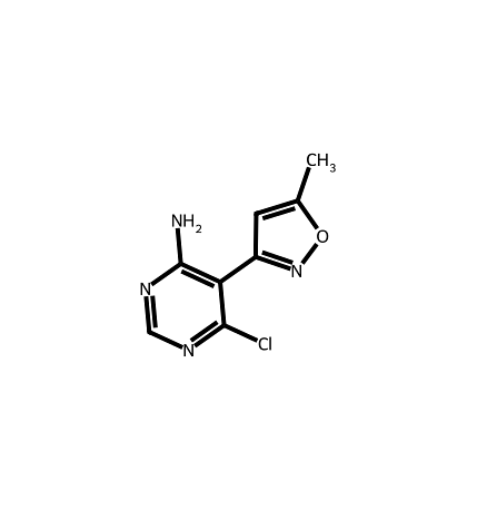 Cc1cc(-c2c(N)ncnc2Cl)no1